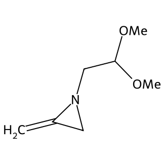 C=C1CN1CC(OC)OC